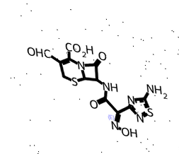 Nc1nc(/C(=N\O)C(=O)NC2C(=O)N3C(C(=O)O)=C(C=O)CSC23)ns1